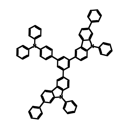 c1ccc(-c2ccc3c4cc(-c5cc(-c6ccc(N(c7ccccc7)c7ccccc7)cc6)cc(-c6ccc7c(c6)c6ccc(-c8ccccc8)cc6n7-c6ccccc6)c5)ccc4n(-c4ccccc4)c3c2)cc1